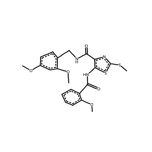 COc1ccc(CNC(=O)c2nc(SC)sc2NC(=O)c2ccccc2OC)c(OC)c1